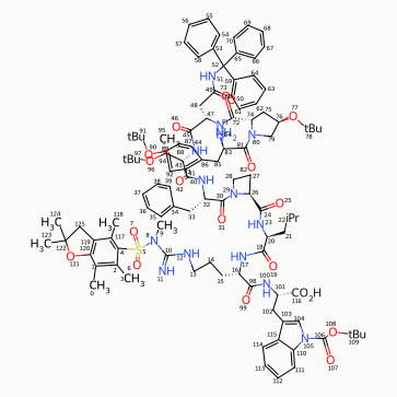 Cc1c(C)c(S(=O)(=O)N(C)C(=N)NCCC[C@H](NC(=O)[C@H](CC(C)C)NC(=O)[C@@H]2CCN2C(=O)[C@H](Cc2ccccc2)NC(=O)[C@@H](NC(=O)[C@H](CC(=O)NC(c2ccccc2)(c2ccccc2)c2ccccc2)NC(=O)[C@@H]2C[C@@H](OC(C)(C)C)CN2C(=O)[C@H](N)Cc2ccc(OC(C)(C)C)cc2)[C@@H](C)OC(C)(C)C)C(=O)N[C@@H](Cc2cn(C(=O)OC(C)(C)C)c3ccccc23)C(=O)O)c(C)c2c1OC(C)(C)C2